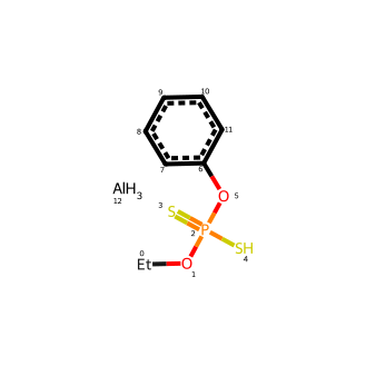 CCOP(=S)(S)Oc1ccccc1.[AlH3]